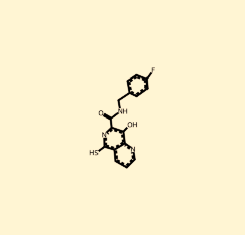 O=C(NCc1ccc(F)cc1)c1nc(S)c2cccnc2c1O